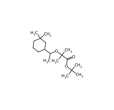 CC(OC(C)(C)C(=O)OC(C)(C)C)C1CCCC(C)(C)C1